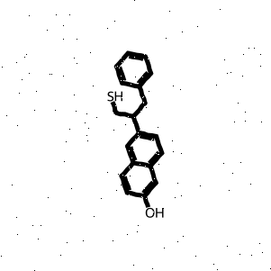 Oc1ccc2cc(C(CS)Cc3ccccc3)ccc2c1